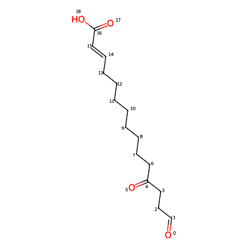 O=[C]CCC(=O)CCCCCCCCC=CC(=O)O